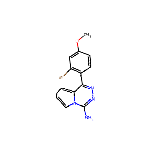 COc1ccc(-c2nnc(N)n3cccc23)c(Br)c1